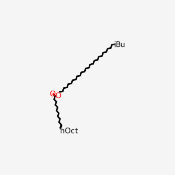 CCCCCCCCC=CCCCCCCCCCC(=O)OCCCCCCCCCCCCCCCCCCCCCCCCCC(C)CC